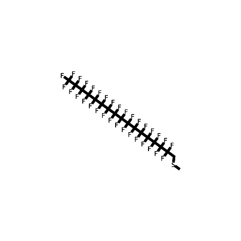 CSCC(F)(F)C(F)(F)C(F)(F)C(F)(F)C(F)(F)C(F)(F)C(F)(F)C(F)(F)C(F)(F)C(F)(F)C(F)(F)C(F)(F)C(F)(F)C(F)(F)C(F)(F)C(F)(F)F